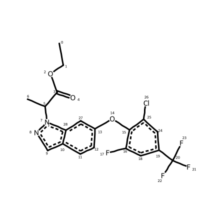 CCOC(=O)C(C)n1ncc2ccc(Oc3c(F)cc(C(F)(F)F)cc3Cl)cc21